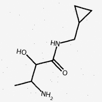 CC(N)C(O)C(=O)NCC1CC1